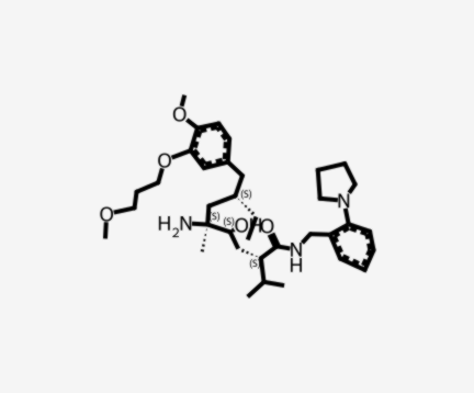 CC[C@@H](Cc1ccc(OC)c(OCCCOC)c1)C[C@](C)(N)[C@@H](O)C[C@H](C(=O)NCc1ccccc1N1CCCC1)C(C)C